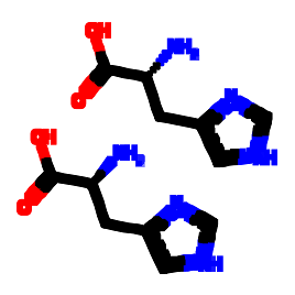 N[C@@H](Cc1c[nH]cn1)C(=O)O.N[C@H](Cc1c[nH]cn1)C(=O)O